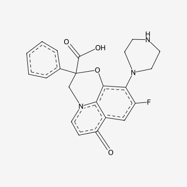 O=C(O)C1(c2ccccc2)Cn2ccc(=O)c3cc(F)c(N4CCNCC4)c(c32)O1